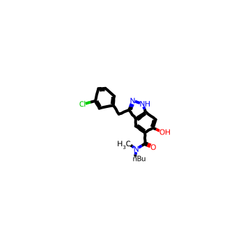 CCCCN(C)C(=O)c1cc2c(Cc3cccc(Cl)c3)n[nH]c2cc1O